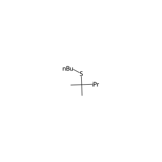 CCCCSC(C)(C)C(C)C